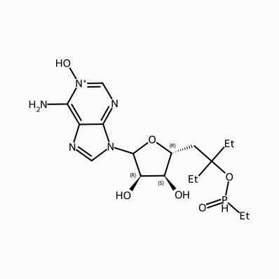 CC[PH](=O)OC(CC)(CC)C[C@H]1OC(n2cnc3c(N)[n+](O)cnc32)[C@H](O)[C@@H]1O